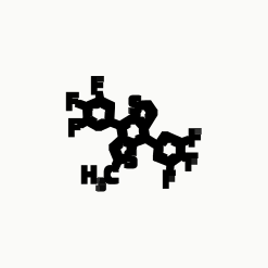 Cc1cc2c(-c3cc(F)c(F)c(F)c3)c3sccc3c(-c3cc(F)c(F)c(F)c3)c2s1